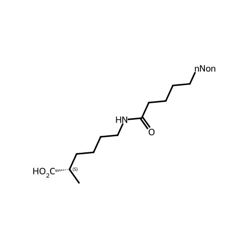 CCCCCCCCCCCCCC(=O)NCCCC[C@H](C)C(=O)O